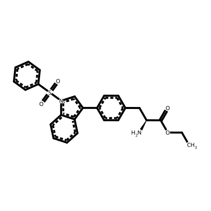 CCOC(=O)[C@@H](N)Cc1ccc(-c2cn(S(=O)(=O)c3ccccc3)c3ccccc23)cc1